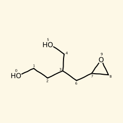 OCCC(CO)CC1CO1